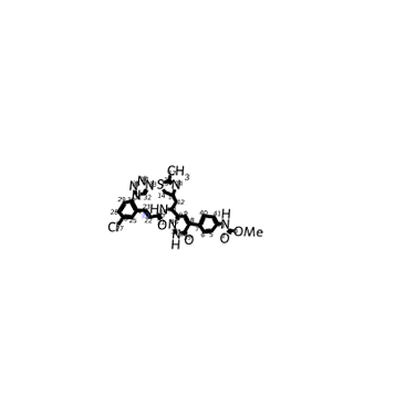 COC(=O)Nc1ccc(-c2cc(C(CC3CSC(C)=N3)NC(=O)/C=C/c3cc(Cl)ccc3-n3cnnn3)n[nH]c2=O)cc1